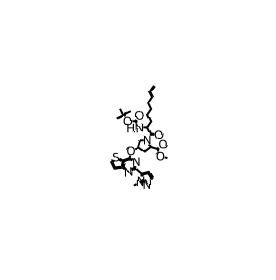 C=CCCCCCC(NC(=O)OC(C)(C)C)C(=O)N1CC(Oc2nc(-c3ccnn3C)nc3ccsc23)CC1C(=O)OC